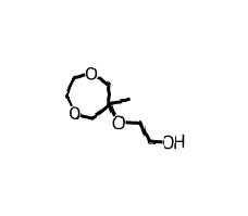 CC1(OCCO)COCCOC1